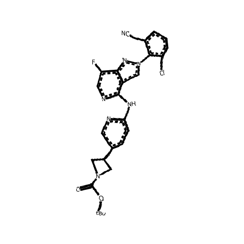 CC(C)(C)OC(=O)N1CC(c2ccc(Nc3ncc(F)c4nn(-c5c(Cl)cccc5C#N)cc34)nc2)C1